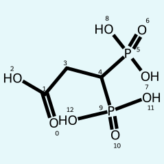 O=C(O)CC(P(=O)(O)O)P(=O)(O)O